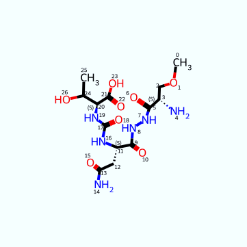 COC[C@H](N)C(=O)NNC(=O)[C@H](CC(N)=O)NC(=O)N[C@H](C(=O)O)C(C)O